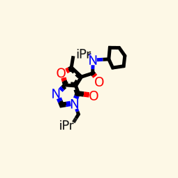 Cc1oc2ncn(CC(C)C)c(=O)c2c1C(=O)N(C(C)C)C1CCCCC1